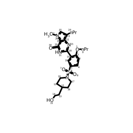 CCCOc1ccc(S(=O)(=O)N2CCC(CCO)CC2)cc1-c1nc2c(CCC)cn(C)c2c(=O)[nH]1